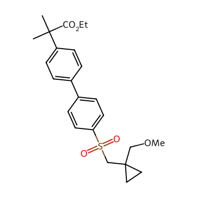 CCOC(=O)C(C)(C)c1ccc(-c2ccc(S(=O)(=O)CC3(COC)CC3)cc2)cc1